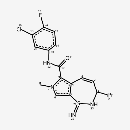 CC(C)C1C=Cc2c(cn(C)c2C(=O)Nc2ccc(F)c(Cl)c2)S(=N)N1